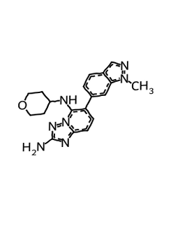 Cn1ncc2ccc(-c3ccc4nc(N)nn4c3NC3CCOCC3)cc21